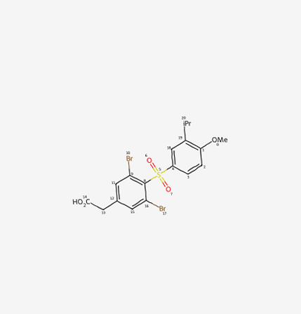 COc1ccc(S(=O)(=O)c2c(Br)cc(CC(=O)O)cc2Br)cc1C(C)C